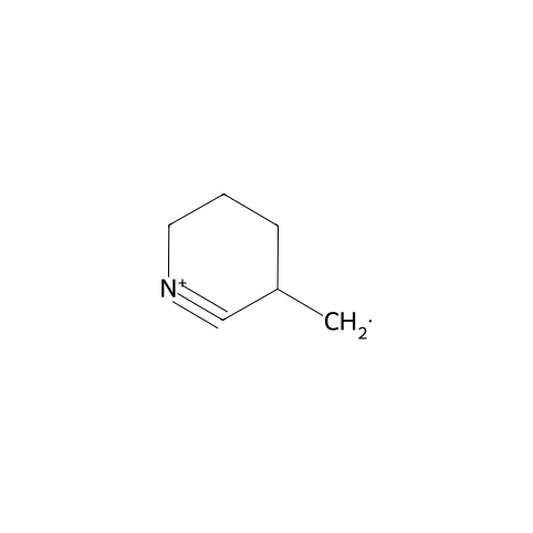 [CH2]C1C#[N+]CCC1